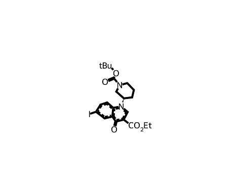 CCOC(=O)c1cn([C@H]2CCCN(C(=O)OC(C)(C)C)C2)c2ccc(I)cc2c1=O